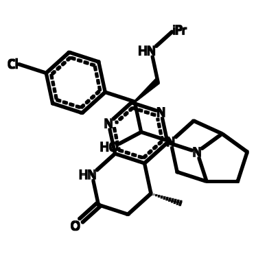 CC(C)NC[C@H](c1ccc(Cl)cc1)C(O)N1CC2CCC(C1)N2c1ncnc2c1[C@H](C)CC(=O)N2